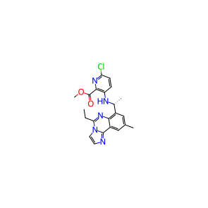 CCc1nc2c([C@@H](C)Nc3ccc(Cl)nc3C(=O)OC)cc(C)cc2c2nccn12